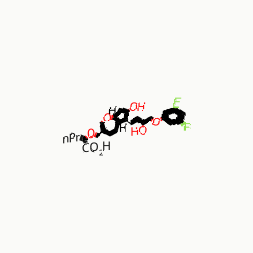 CCCC(OC[C@@H]1CC[C@@H]2[C@@H](/C=C/[C@@H](O)COc3cc(F)cc(F)c3)[C@H](O)C[C@@H]2OC1)C(=O)O